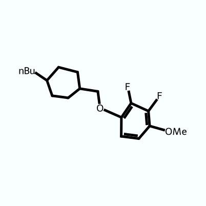 CCCCC1CCC(COc2ccc(OC)c(F)c2F)CC1